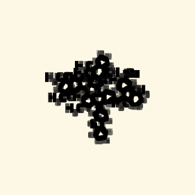 Cc1cc2c3c(c1)N(c1cc4c(cc1C)C(C)(C)CCC4(C)C)c1cc4c(cc1B3c1ccc(/C=C3\c5ccc(C(C)(C)C)cc5C5(C)CCCCC35C)cc1N2c1ccc2c(c1)sc1ccccc12)C(C)(C)c1ccccc1C4(C)C